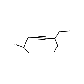 [CH2]C(C)CC#CC(CC)CC